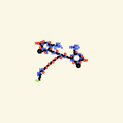 N=C(N)NCCC[C@@H]1NC(=O)[C@H](CCCCNC(=O)CCN(CCC(=O)NCCCC[C@@H]2NC(=O)[C@@H](Cc3ccccc3)NC(=O)[C@H](CC(=O)O)NC(=O)CNC(=O)[C@H](CCCNC(=N)N)NC2=O)C(=O)CCOCCOCCOCCOCCNC(=O)Cn2cc(CCC[18F])nn2)NC(=O)[C@@H](Cc2ccccc2)NC(=O)[C@H](CC(=O)O)NC(=O)CNC1=O